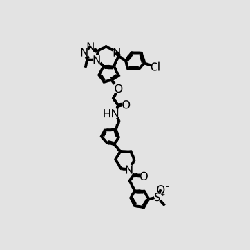 Cc1nnc2n1-c1ccc(OCC(=O)NCc3cccc(C4CCN(C(=O)Cc5cccc([S+](C)[O-])c5)CC4)c3)cc1C(c1ccc(Cl)cc1)=NC2